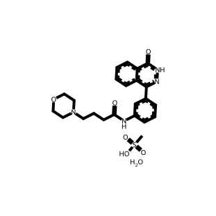 CS(=O)(=O)O.O.O=C(CCCN1CCOCC1)Nc1cccc(-c2n[nH]c(=O)c3ccccc23)c1